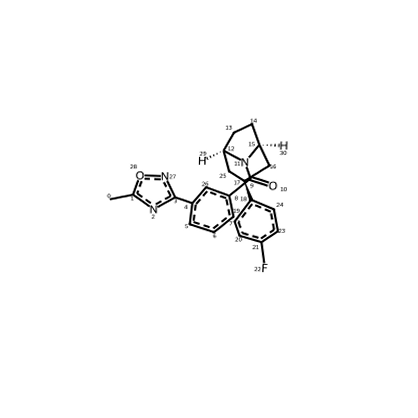 Cc1nc(-c2cccc(C(=O)N3[C@@H]4CC[C@H]3C[C@@H](c3ccc(F)cc3)C4)c2)no1